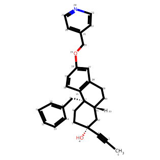 CC#C[C@@]1(O)CC[C@@]2(Cc3ccccc3)c3ccc(OCc4ccncc4)cc3CC[C@@H]2C1